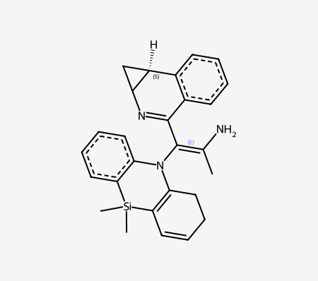 C/C(N)=C(/C1=NC2C[C@H]2c2ccccc21)N1C2=C(C=CCC2)[Si](C)(C)c2ccccc21